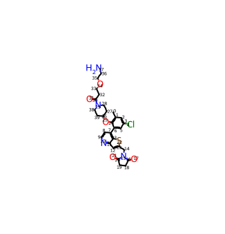 Cc1cc(Cl)cc(-c2ccnc3cc(CN4C(=O)CCC4=O)sc23)c1OC1CCN(C(=O)CCOCCN)CC1